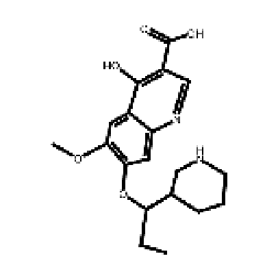 CCC(Oc1cc2ncc(C(=O)O)c(O)c2cc1OC)C1CCCNC1